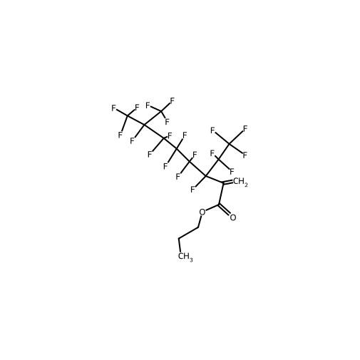 C=C(C(=O)OCCC)C(F)(C(F)(F)C(F)(F)F)C(F)(F)C(F)(F)C(F)(F)C(F)(C(F)(F)F)C(F)(F)F